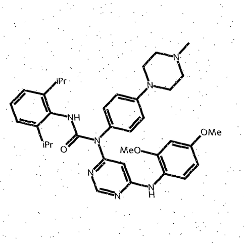 COc1ccc(Nc2cc(N(C(=O)Nc3c(C(C)C)cccc3C(C)C)c3ccc(N4CCN(C)CC4)cc3)ncn2)c(OC)c1